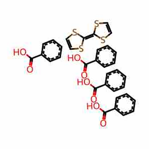 C1=CSC(=C2SC=CS2)S1.O=C(O)c1ccccc1.O=C(O)c1ccccc1.O=C(O)c1ccccc1.O=C(O)c1ccccc1